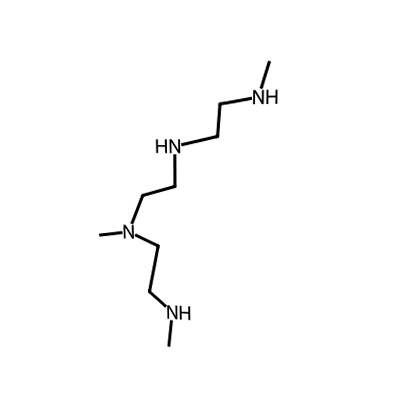 CNCCNCCN(C)CCNC